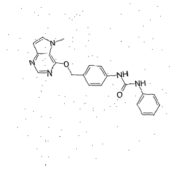 Cn1ccc2ncnc(OCc3ccc(NC(=O)Nc4ccccc4)cc3)c21